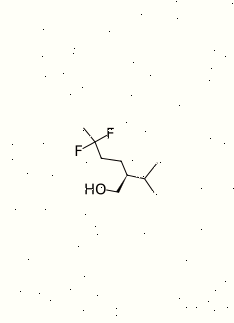 CC(C)[C@@H](CO)CCC(C)(F)F